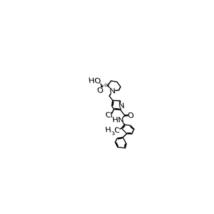 Cc1c(NC(=O)c2ncc(CN3CCCC[C@H]3C(=O)O)cc2Cl)cccc1-c1ccccc1